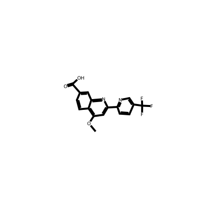 COc1cc(-c2ccc(C(F)(F)F)cn2)nc2cc(C(=O)O)ccc12